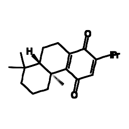 CC(C)C1=CC(=O)C2=C(CC[C@H]3C(C)(C)CCC[C@]23C)C1=O